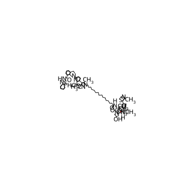 Cc1ncsc1-c1ccc(C(C)NC(=O)[C@@H]2C[C@@H](O)CN2C(=O)C(NC(=O)CCCCCCCCCCCCCCCn2nc(C)c(-c3ccc(N4CCc5cccc(C(=O)Nc6nc7ccccc7s6)c5C4)nc3C(=O)O)c2C)C(C)(C)C)cc1